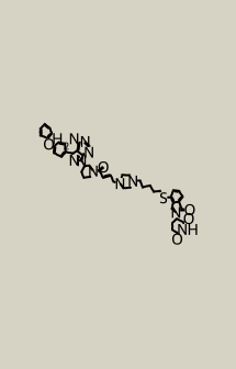 Nc1ncnc2c1c(-c1ccc(Oc3ccccc3)cc1)nn2[C@@H]1CCCN(C(=O)/C=C/CN2CCN(CCCCCSc3cccc4c3CN(C3CCC(=O)NC3=O)C4=O)CC2)C1